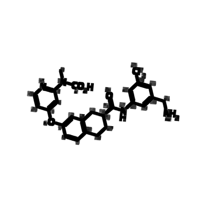 CN(C(=O)O)c1cc(Oc2ccc3c(c2)C[C@@H](C(=O)Nc2cc(CN)cc(C(F)(F)F)c2)CC3)ccn1